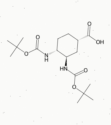 CC(C)(C)OC(=O)N[C@@H]1CC[C@H](C(=O)O)C[C@H]1NC(=O)OC(C)(C)C